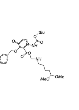 COC(CCCCNCOC(=O)c1c(OCc2ccccc2)c(=O)ccn1NC(=O)OC(C)(C)C)OC